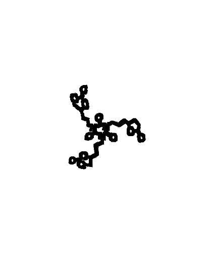 O=C1CCC(/C=C/Cn2c(=O)n(C/C=C/C3COC(=O)O3)c(=O)n(C/C=C/C3COC(=O)O3)c2=O)O1